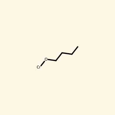 CCCC[O][Cr]